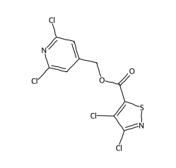 O=C(OCc1cc(Cl)nc(Cl)c1)c1snc(Cl)c1Cl